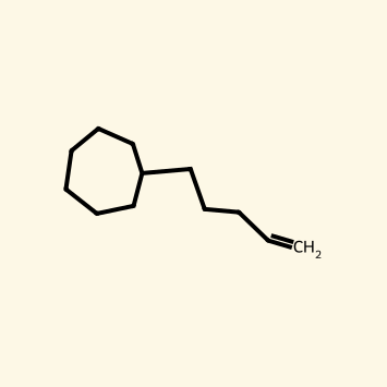 C=CCCCC1CCCCCC1